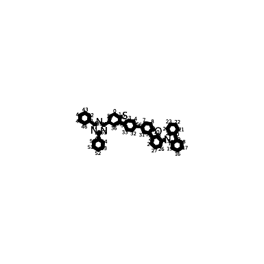 C1=c2sc3cc(-c4ccc5oc6c(-n7c8ccccc8c8ccccc87)cccc6c5c4)ccc3c2=CC(c2nc(-c3ccccc3)nc(-c3ccccc3)n2)C1